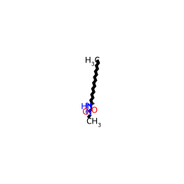 CCCCCCCCCCCCCCCCNC(=O)[NH+]([O-])CCC